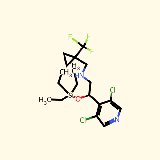 CC[Si](CC)(CC)OC(CNCC1(C(F)(F)F)CC1)c1c(Cl)cncc1Cl